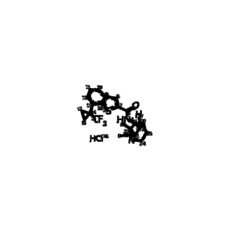 CC1(C)[C@H](NC(=O)c2cc3cccc(C4(C(F)(F)F)CC4)c3s2)C2CCN1CC2.Cl